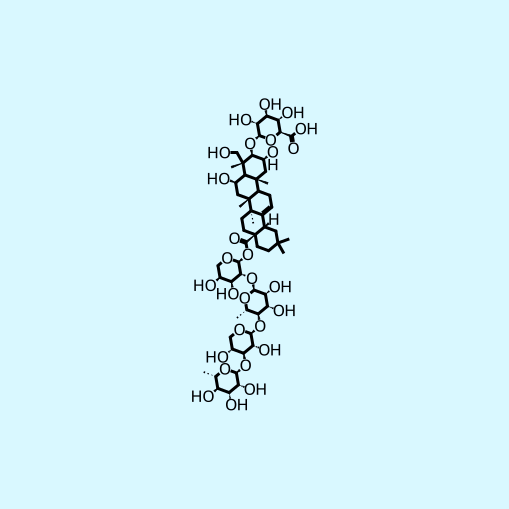 C[C@@H]1O[C@@H](O[C@@H]2[C@@H](O)[C@H](O[C@@H]3[C@@H](O)[C@@H](O)[C@H](O[C@H]4[C@H](OC(=O)[C@]56CCC(C)(C)C[C@H]5C5=CCC7[C@@]8(C)C[C@H](O)[C@H](O[C@@H]9O[C@H](C(=O)O)[C@@H](O)[C@H](O)[C@H]9O)[C@@](C)(CO)C8[C@H](O)C[C@@]7(C)[C@]5(C)CC6)OC[C@H](O)[C@@H]4O)O[C@H]3C)OC[C@H]2O)[C@H](O)[C@H](O)[C@H]1O